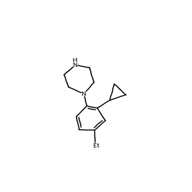 CCc1ccc(N2CCNCC2)c(C2CC2)c1